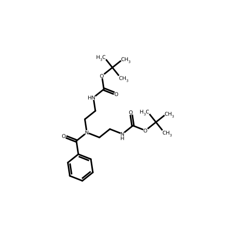 CC(C)(C)OC(=O)NCCN(CCNC(=O)OC(C)(C)C)C(=O)c1ccccc1